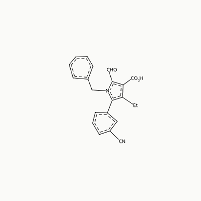 CCc1c(C(=O)O)c(C=O)n(Cc2ccccc2)c1-c1cccc(C#N)c1